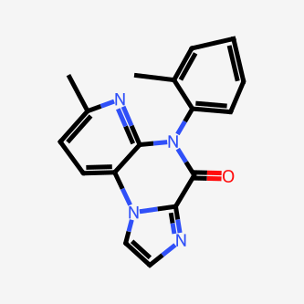 Cc1ccc2c(n1)n(-c1ccccc1C)c(=O)c1nccn12